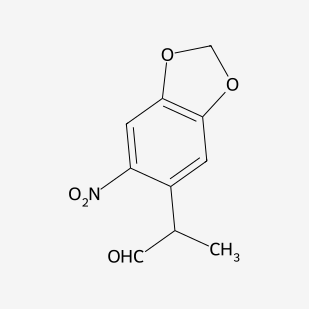 CC(C=O)c1cc2c(cc1[N+](=O)[O-])OCO2